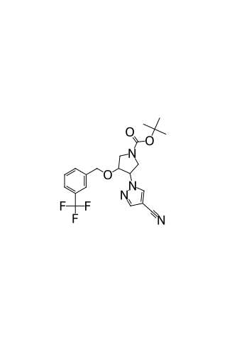 CC(C)(C)OC(=O)N1CC(OCc2cccc(C(F)(F)F)c2)C(n2cc(C#N)cn2)C1